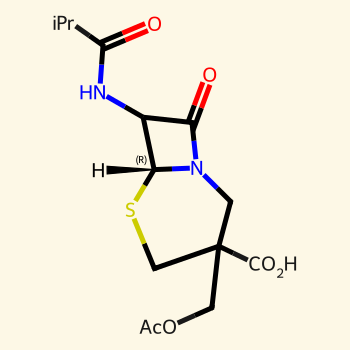 CC(=O)OCC1(C(=O)O)CS[C@@H]2C(NC(=O)C(C)C)C(=O)N2C1